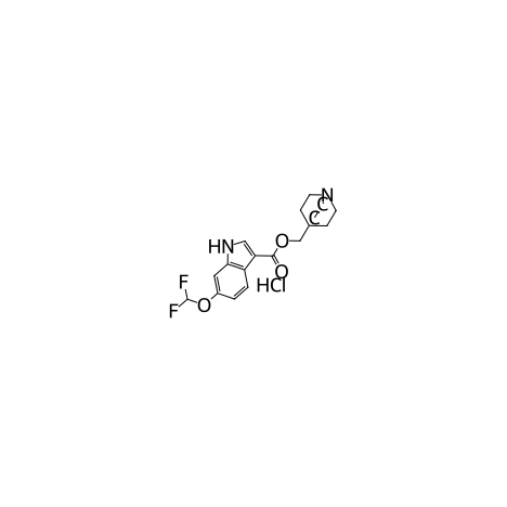 Cl.O=C(OCC12CCN(CC1)CC2)c1c[nH]c2cc(OC(F)F)ccc12